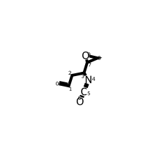 C=CCC(N=C=O)C1CO1